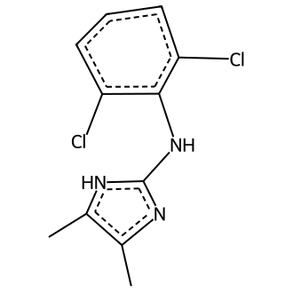 Cc1nc(Nc2c(Cl)cccc2Cl)[nH]c1C